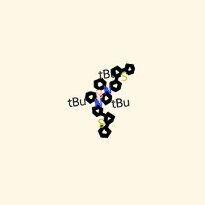 CC(C)(C)c1ccc2c(c1)N(c1cccc(-c3cccc4c3sc3ccccc34)c1)c1cc(C(C)(C)C)cc3c1B2c1ccc(C(C)(C)C)cc1N3c1cccc(-c2cccc3c2sc2ccccc23)c1